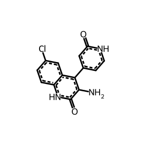 Nc1c(-c2cc[nH]c(=O)c2)c2cc(Cl)ccc2[nH]c1=O